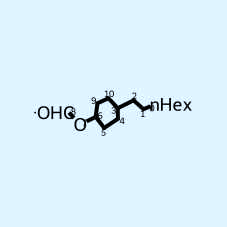 CCCCCCCCC1CCC(O[C]=O)CC1